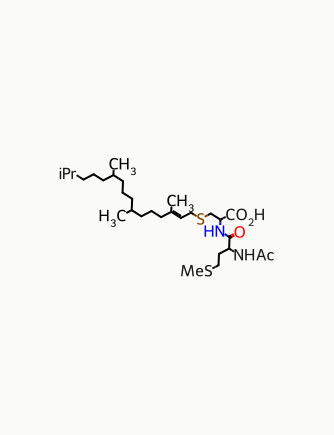 CSCCC(NC(C)=O)C(=O)NC(CSC/C=C(\C)CCCC(C)CCCC(C)CCCC(C)C)C(=O)O